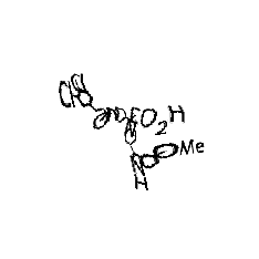 COc1ccc2[nH]cc(C3CCN(C(C(=O)O)C4CCN(C(=O)/C=C/c5ccc(Cl)c(Cl)c5)CC4)CC3)c2c1